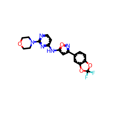 FC1(F)Oc2ccc(-c3cc(Nc4ccnc(N5CCOCC5)n4)on3)cc2O1